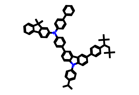 CC(C)c1ccc(-n2c3ccc(-c4ccc(C(CC(C)(C)C)C(C)(C)C)cc4)cc3c3cc(-c4ccc(N(c5ccc(-c6ccccc6)cc5)c5ccc6c(c5)C(C)(C)c5ccccc5-6)cc4)ccc32)cc1